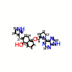 OC1c2cccc(OC[C@H]3CCCN3c3ncnc4[nH]cnc34)c2CC[C@H]1Cc1cc[nH]n1